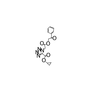 O=C(Cn1nnnc1C(=O)OC1CC1)OCC(=O)c1ccccc1